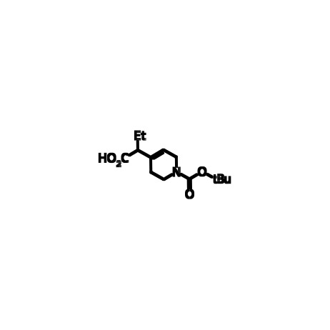 CCC(C(=O)O)C1=CCN(C(=O)OC(C)(C)C)CC1